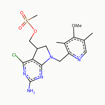 COc1c(C)cnc(CN2CC(COS(C)(=O)=O)c3c(Cl)nc(N)nc32)c1C